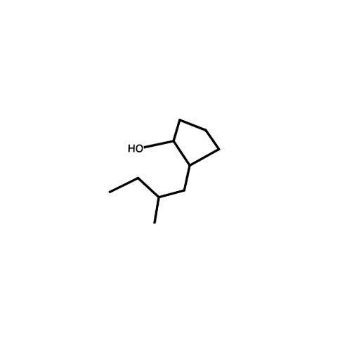 CCC(C)CC1CCCC1O